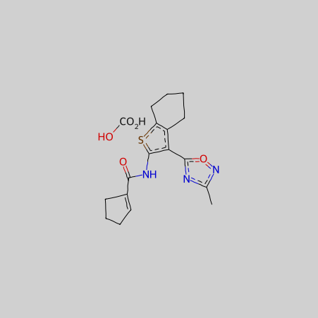 Cc1noc(-c2c(NC(=O)C3=CCCC3)sc3c2CCCC3)n1.O=C(O)O